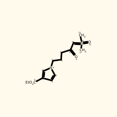 CCOC(=O)c1ccn(CCCC(=O)C=S(C)(C)=O)c1